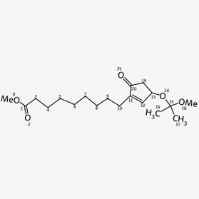 COC(=O)CCCCCCCCC1=CC(OC(C)(C)OC)CC1=O